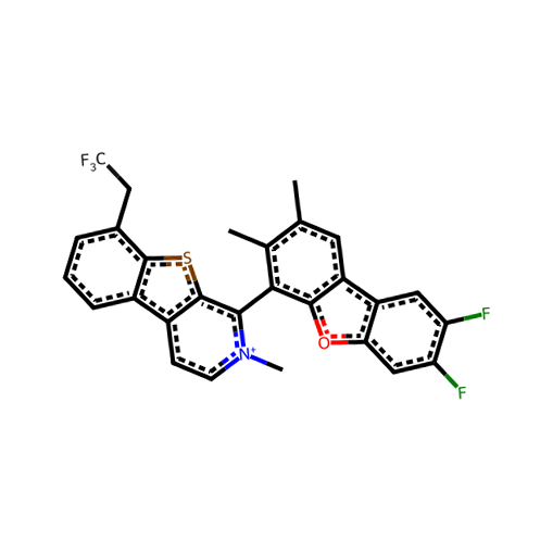 Cc1cc2c(oc3cc(F)c(F)cc32)c(-c2c3sc4c(CC(F)(F)F)cccc4c3cc[n+]2C)c1C